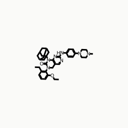 CCOc1cccc(CC)c1N1Cc2cnc(Nc3ccc(N4CCN(C)CC4)cc3)nc2N(C23CC4CC(CC(C4)C2)C3)C1=O